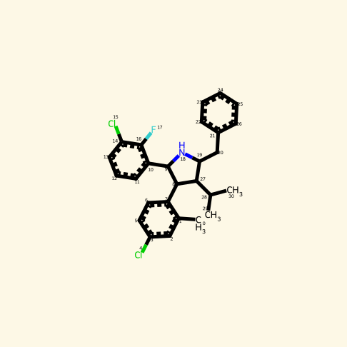 Cc1cc(Cl)ccc1C1C(c2cccc(Cl)c2F)NC(Cc2ccccc2)C1C(C)C